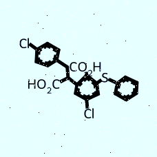 O=C(O)c1c(Sc2ccccc2)cc(Cl)cc1C(Cc1ccc(Cl)cc1)C(=O)O